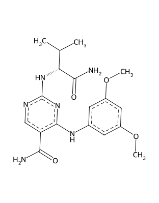 COc1cc(Nc2nc(N[C@@H](C(N)=O)C(C)C)ncc2C(N)=O)cc(OC)c1